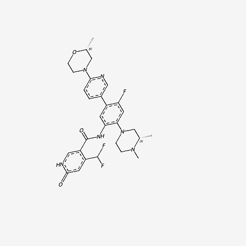 C[C@@H]1CN(c2ccc(-c3cc(NC(=O)c4c[nH]c(=O)cc4C(F)F)c(N4CCN(C)[C@@H](C)C4)cc3F)cn2)CCO1